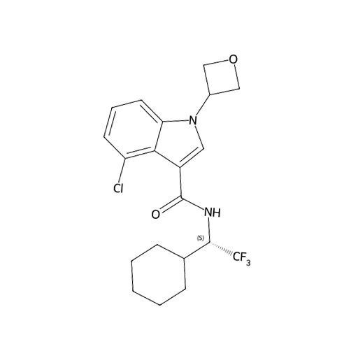 O=C(N[C@@H](C1CCCCC1)C(F)(F)F)c1cn(C2COC2)c2cccc(Cl)c12